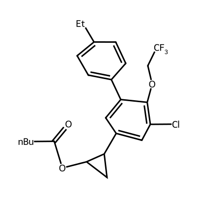 CCCCC(=O)OC1CC1c1cc(Cl)c(OCC(F)(F)F)c(-c2ccc(CC)cc2)c1